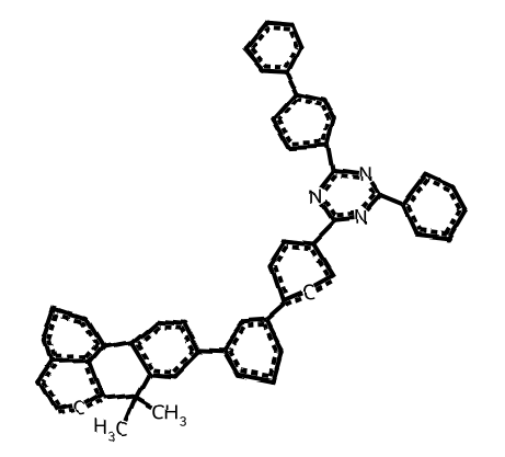 CC1(C)c2cc(-c3cccc(-c4ccc(-c5nc(-c6ccccc6)nc(-c6ccc(-c7ccccc7)cc6)n5)cc4)c3)ccc2-c2cccc3cccc1c23